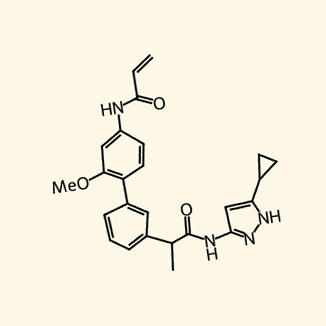 C=CC(=O)Nc1ccc(-c2cccc(C(C)C(=O)Nc3cc(C4CC4)[nH]n3)c2)c(OC)c1